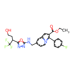 CCOC(=O)c1cc2cc(CNc3nnc(C(CCO)C(F)(F)F)o3)ccn2c1-c1ccc(F)cc1